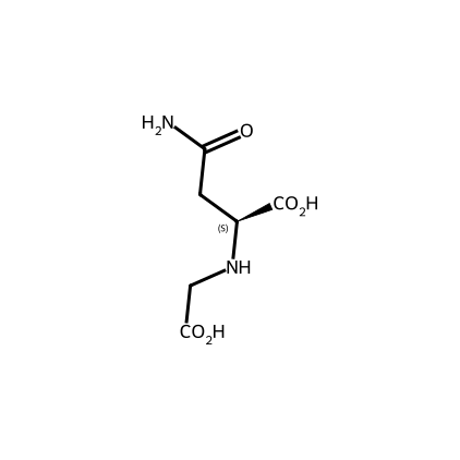 NC(=O)C[C@H](NCC(=O)O)C(=O)O